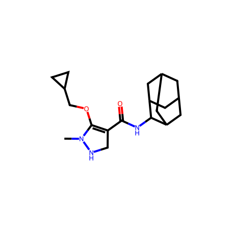 CN1NCC(C(=O)NC2C3CC4CC(C3)CC2C4)=C1OCC1CC1